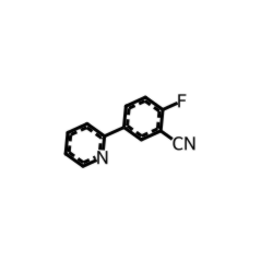 N#Cc1cc(-c2ccccn2)ccc1F